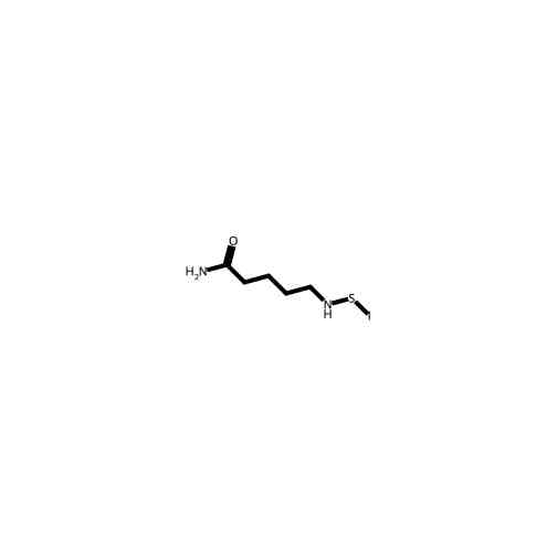 NC(=O)CCCCNSI